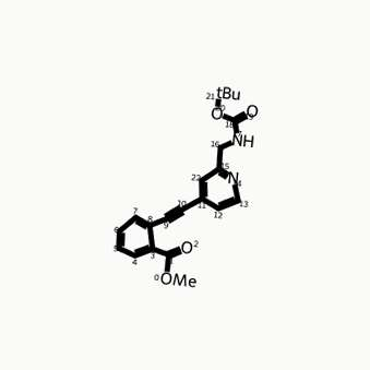 COC(=O)c1ccccc1C#Cc1ccnc(CNC(=O)OC(C)(C)C)c1